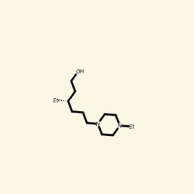 CC[C@H](CCO)CCCN1CCN(CC)CC1